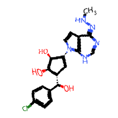 CN/N=c1/nc[nH]c2c1ccn2[C@@H]1C[C@H](C(O)c2ccc(Cl)cc2)[C@@H](O)[C@H]1O